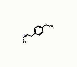 COc1ccc(C/C=N\O)cc1